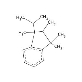 CC(C)C1(C)c2ccccc2C(C)(C)C1C